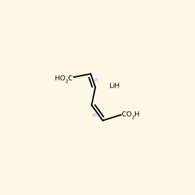 O=C(O)/C=C\C=C/C(=O)O.[LiH]